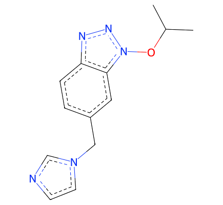 CC(C)On1nnc2ccc(Cn3ccnc3)cc21